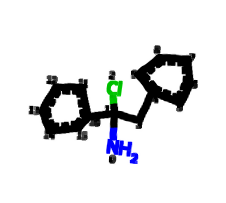 NC(Cl)(Cc1ccccc1)c1ccccc1